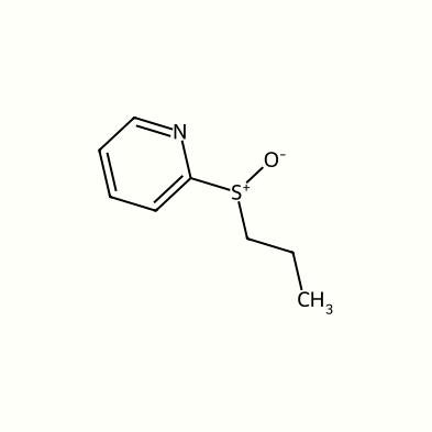 CCC[S+]([O-])c1ccccn1